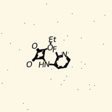 CCOc1c(Nc2cccnc2F)c(=O)c1=O